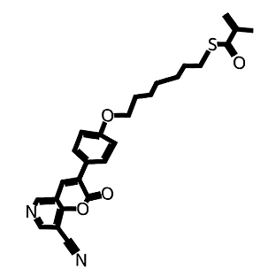 C=C(C)C(=O)SCCCCCCCOc1ccc(-c2cc3cncc(C#N)c3oc2=O)cc1